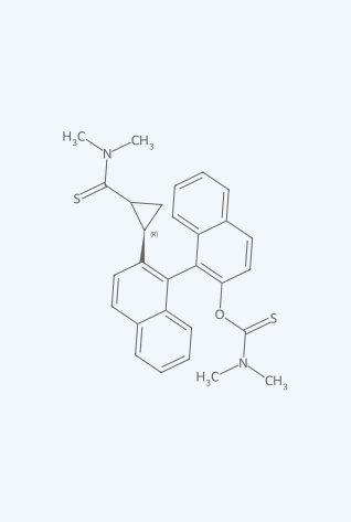 CN(C)C(=S)Oc1ccc2ccccc2c1-c1c([C@@H]2CC2C(=S)N(C)C)ccc2ccccc12